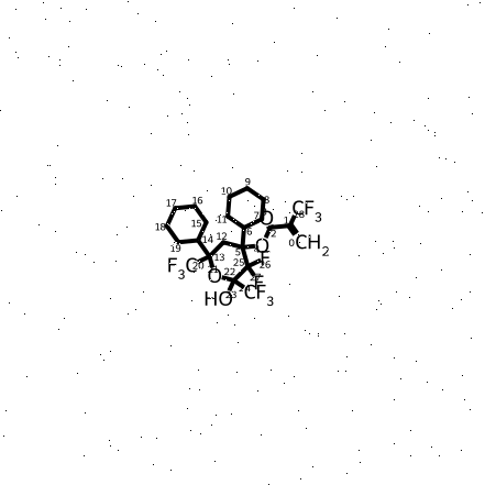 C=C(C(=O)OC1(C2CCCCC2)CC(C2CCCCC2)(C(F)(F)F)OC(O)(C(F)(F)F)C1(F)F)C(F)(F)F